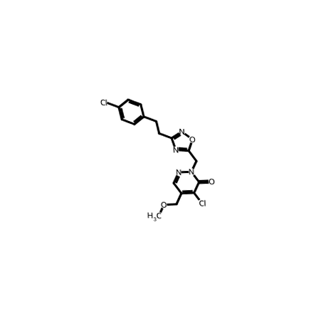 COCc1cnn(Cc2nc(CCc3ccc(Cl)cc3)no2)c(=O)c1Cl